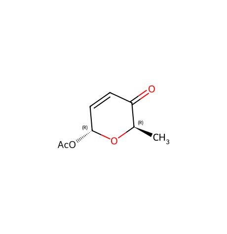 CC(=O)O[C@@H]1C=CC(=O)[C@@H](C)O1